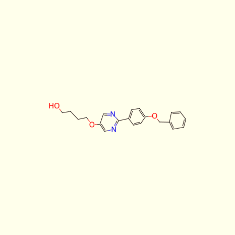 OCCCCOc1cnc(-c2ccc(OCc3ccccc3)cc2)nc1